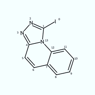 Ic1nnc2ccc3ccccc3n12